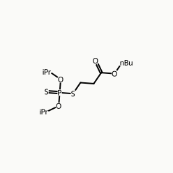 CCCCOC(=O)CCSP(=S)(OC(C)C)OC(C)C